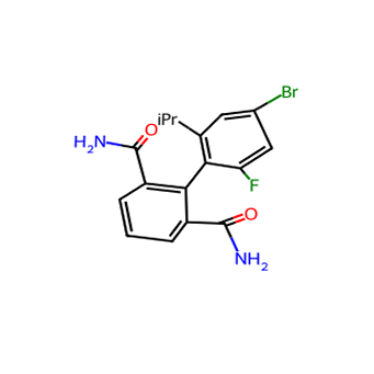 CC(C)c1cc(Br)cc(F)c1-c1c(C(N)=O)cccc1C(N)=O